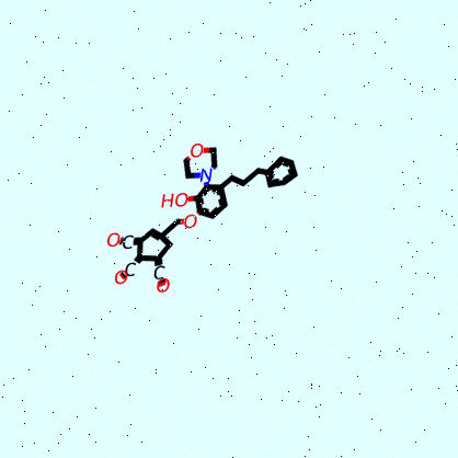 O=C=C1C=C(COc2ccc(CCCc3ccccc3)c(N3CCOCC3)c2O)CC(=C=O)C1=C=O